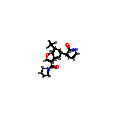 CC(C)(C)c1cc(-c2ccc[nH]c2=O)cc2c(C(=O)N3CCCC3)coc12